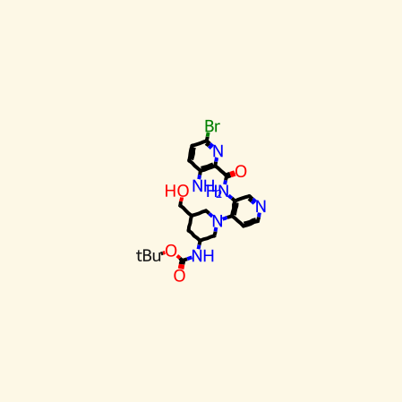 CC(C)(C)OC(=O)NC1CC(CO)CN(c2ccncc2NC(=O)c2nc(Br)ccc2N)C1